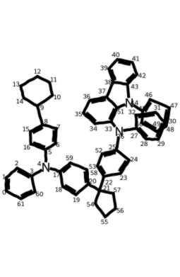 c1ccc(N(c2ccc(C3CCCCC3)cc2)c2ccc(C3(c4ccc(N(c5ccccc5)c5cccc6c7ccccc7n(-c7ccccc7)c56)cc4)CCCC3)cc2)cc1